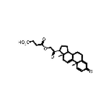 C[C@]12C=CC(=O)C=C1CCC1C2=CC[C@@]2(C)C1CC[C@@H]2C(=O)COC(=O)CCC(=O)O